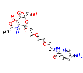 CC(=O)NC1C(O)[C@@H](O)C(CO)O[C@H]1OCCOCCOCCNC(=O)c1ccc(N)cn1